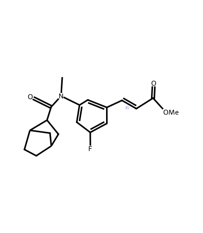 COC(=O)/C=C/c1cc(F)cc(N(C)C(=O)C2CC3CCC2C3)c1